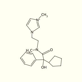 CN(CCn1cc[n+](C)c1)C(=O)C(O)(c1ccccc1)C1CCCC1